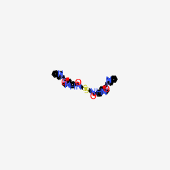 CN1/C(=C/C=C/C23OCCN2c2ccc(C(=O)NCCSSCCNC(=O)c4ccc5c(c4)C(C)(C)C4(/C=C/C=C6/N(C)c7ccccc7C6(C)C)OCCN54)cc2C3(C)C)C(C)(C)c2ccccc21